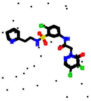 O=C(Cn1ncc(Cl)c(Cl)c1=O)Nc1ccc(Cl)c(S(=O)(=O)NCCc2ccccn2)c1